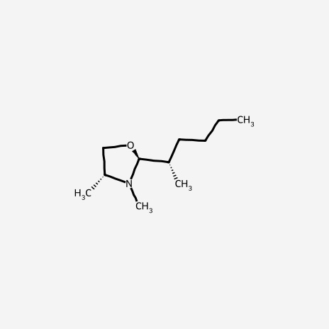 CCCC[C@H](C)[C@@H]1OC[C@@H](C)N1C